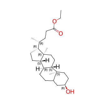 CCOC(=O)CC[C@@H](C)[C@H]1CC[C@H]2[C@@H]3CCC4C[C@H](O)CC[C@]4(C)[C@H]3CC[C@]12C